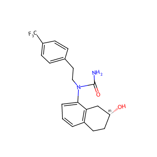 NC(=O)N(CCc1ccc(C(F)(F)F)cc1)c1cccc2c1C[C@H](O)CC2